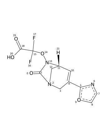 O=C1N2CC(c3ncco3)=C[C@H](C2)N1OC(F)(F)C(=O)O